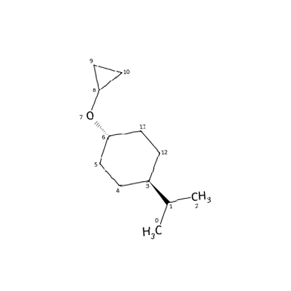 CC(C)[C@H]1CC[C@H](OC2CC2)CC1